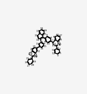 c1ccc(-c2nc(-c3ccc(-c4c(-c5cccc(-c6ccc7oc(-c8ccccc8)nc7c6)c5)ccc5ccccc45)cc3)c3ccccc3n2)cc1